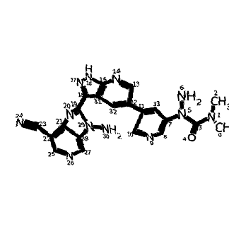 CN(C)C(=O)N(N)c1cncc(-c2cnc3[nH]nc(-c4nc5c(C#N)cncc5n4N)c3c2)c1